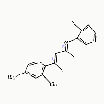 C/C(=C\C(C)=N\c1ccccc1C)c1ccc(C(C)(C)C)cc1C(C)(C)C